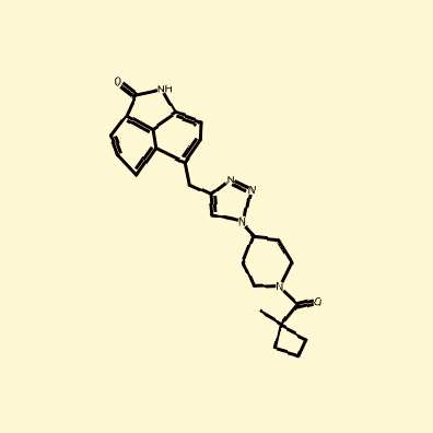 CC1(C(=O)N2CCC(n3cc(Cc4ccc5c6c(cccc46)C(=O)N5)nn3)CC2)CCC1